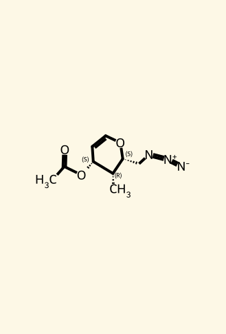 CC(=O)O[C@@H]1C=CO[C@H](CN=[N+]=[N-])[C@@H]1C